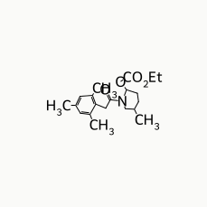 CCOC(=O)OC1CCC(C)CN1C(=O)Cc1c(C)cc(C)cc1C